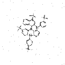 CC(C)(C)C1=CCC2C(=C1)B1c3c(cccc3N2C2=CC=C(C(C)(C)C)CC2)N(c2cccc(C(C)(C)C)c2)c2cc(C(C)(C)C)c3ccccc3c21